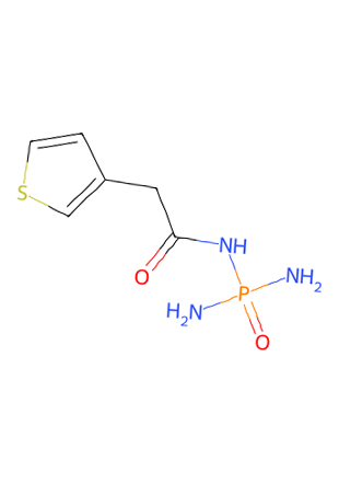 NP(N)(=O)NC(=O)Cc1ccsc1